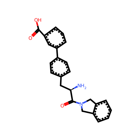 N[C@H](Cc1ccc(-c2cccc(C(=O)O)c2)cc1)C(=O)N1Cc2ccccc2C1